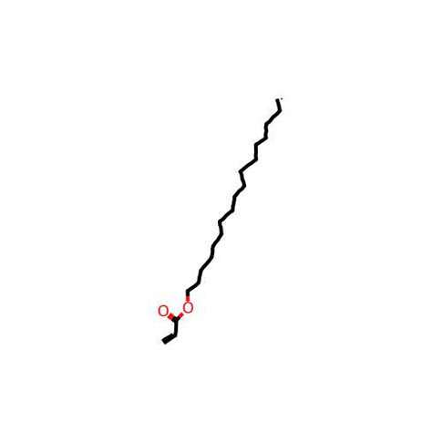 [CH2]CCCCCCCCCCCCCCCCOC(=O)C=C